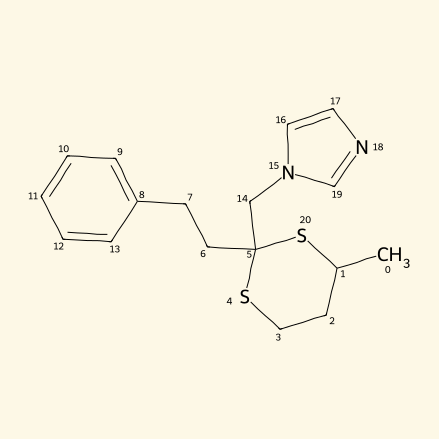 CC1CCSC(CCc2ccccc2)(Cn2ccnc2)S1